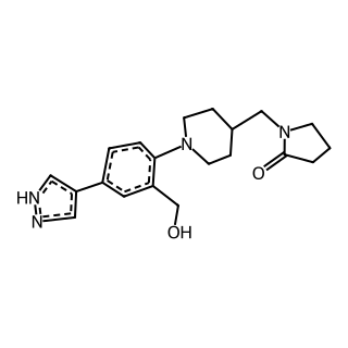 O=C1CCCN1CC1CCN(c2ccc(-c3cn[nH]c3)cc2CO)CC1